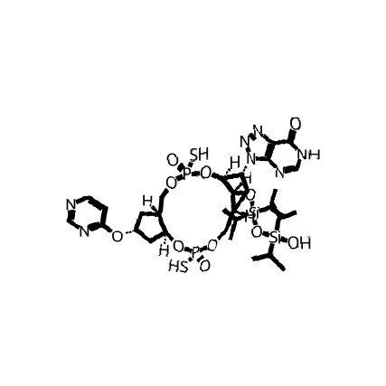 CC(C)[Si](O)(O[Si](O[C@@H]1[C@H]2COP(=O)(S)O[C@H]3C[C@H](Oc4ccncn4)C[C@@H]3COP(=O)(S)O[C@H]1[C@H](n1nnc3c(=O)[nH]cnc31)C2)(C(C)C)C(C)C)C(C)C